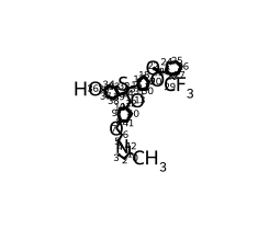 CC1CCN(CCOc2ccc(C(=O)c3c(-c4ccc(OC(=O)c5ccccc5C(F)(F)F)cc4)sc4cc(O)ccc34)cc2)C1